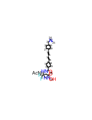 CC(=O)NC(C)(C(F)F)[C@H](NC(=O)c1ccc(C#CC#Cc2ccc(CN(C)C)cc2)cc1)C(=O)NO